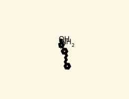 N[C@]1(CO)CC[C@@H](c2ccc(CCCCc3ccccc3)cc2)C1